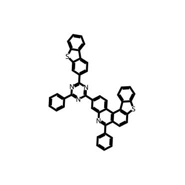 c1ccc(-c2nc(-c3ccc4c(c3)nc(-c3ccccc3)c3ccc5sc6ccccc6c5c34)nc(-c3ccc4c(c3)sc3ccccc34)n2)cc1